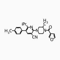 Cc1ccc(-c2cc(C#N)c(N3CCN(C(=O)c4ccoc4)C(C)C3)nc2C(C)C)cc1